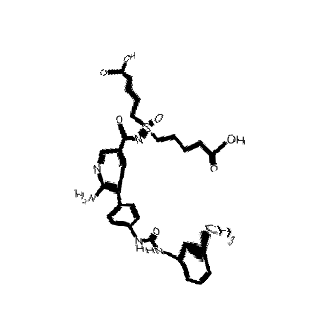 Cc1cccc(NC(=O)Nc2ccc(-c3cc(C(=O)N=S(=O)(CCCCC(=O)O)CCCCC(=O)O)cnc3N)cc2)c1